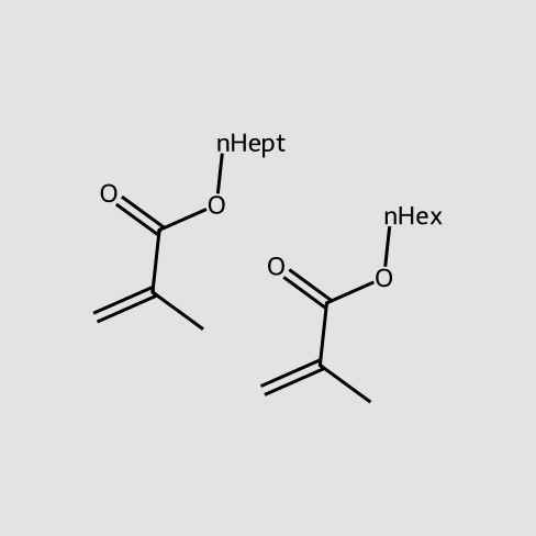 C=C(C)C(=O)OCCCCCC.C=C(C)C(=O)OCCCCCCC